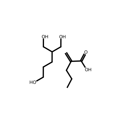 C=C(CCC)C(=O)O.OCCCC(CO)CO